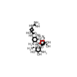 N=C(N)NC1CC(O)(C(=O)N[C@@H]2C[C@H](N)[C@@H](O[C@H]3O[C@H](CN)[C@@H](O)C[C@H]3N)[C@H](O[C@@H]3O[C@H](CO)[C@@H](O[C@H]4O[C@@H](CN)[C@@H](O)[C@H](O)[C@H]4N)[C@H]3O)[C@H]2O)C1